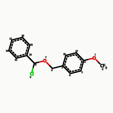 FC(F)(F)Oc1ccc(COC(Cl)c2ccccc2)cc1